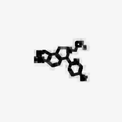 FC(F)(F)CN1CCc2c(ccc3[nH]ncc23)C1c1ccc(Br)cn1